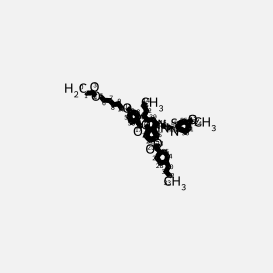 C=CC(=O)OCCCCCCOc1ccc(C(=O)Oc2ccc(OC(=O)C3CCC(CCCC)CC3)cc2C(CCCCCC)=NNc2nc3ccc(OC)cc3s2)cc1